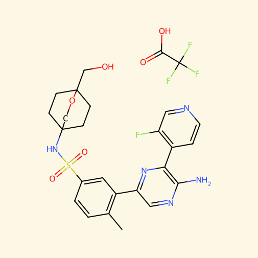 Cc1ccc(S(=O)(=O)NC23CCC(CO)(CC2)OC3)cc1-c1cnc(N)c(-c2ccncc2F)n1.O=C(O)C(F)(F)F